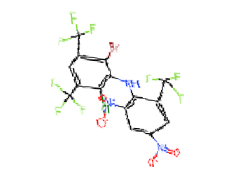 O=[N+]([O-])c1cc([N+](=O)[O-])c(Nc2c(Cl)c(C(F)(F)F)cc(C(F)(F)F)c2Br)c(C(F)(F)F)c1